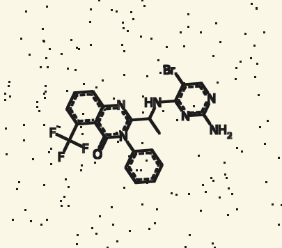 CC(Nc1nc(N)ncc1Br)c1nc2cccc(C(F)(F)F)c2c(=O)n1-c1ccccc1